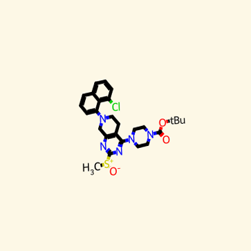 C[S+]([O-])c1nc2c(c(N3CCN(C(=O)OC(C)(C)C)CC3)n1)CCN(c1cccc3cccc(Cl)c13)C2